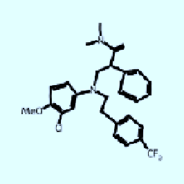 C=C(C(CN(CCc1ccc(C(F)(F)F)cc1)c1ccc(OC)c(Cl)c1)c1ccccc1)N(C)C